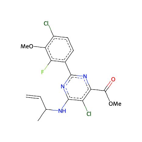 C=CC(C)Nc1nc(-c2ccc(Cl)c(OC)c2F)nc(C(=O)OC)c1Cl